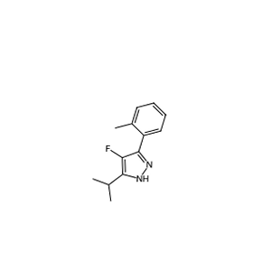 Cc1ccccc1-c1n[nH]c(C(C)C)c1F